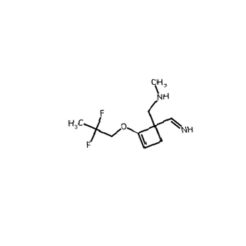 CNCC1(C=N)CC=C1OCC(C)(F)F